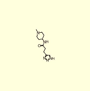 CN1CCC(NC(=O)CCc2c[nH]nn2)CC1